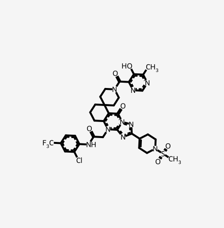 Cc1ncnc(C(=O)N2CCC3(CCCc4c3c(=O)n3nc(C5=CCN(S(C)(=O)=O)CC5)nc3n4CC(=O)Nc3ccc(C(F)(F)F)cc3Cl)CC2)c1O